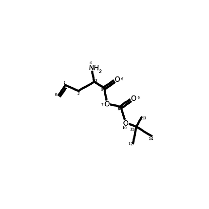 C=CCC(N)C(=O)OC(=O)OC(C)(C)C